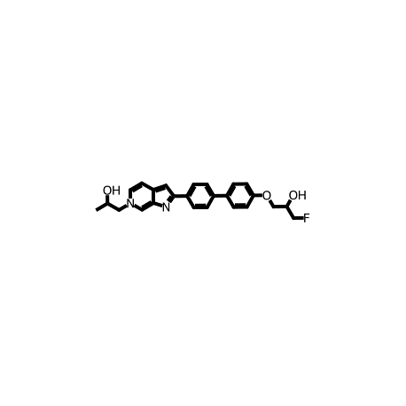 CC(O)Cn1ccc2cc(-c3ccc(-c4ccc(OCC(O)CF)cc4)cc3)nc-2c1